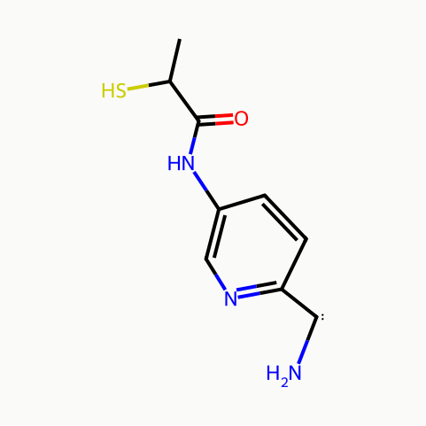 CC(S)C(=O)Nc1ccc([C]N)nc1